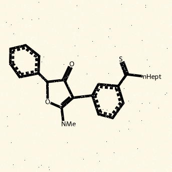 CCCCCCCC(=S)c1cccc(C2=C(NC)OC(c3ccccc3)C2=O)c1